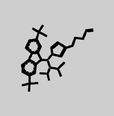 C=CCCCC1=CC(B(C2c3cc(C(C)(C)C)ccc3-c3ccc(C(C)(C)C)cc32)N(C(C)C)C(C)C)C=C1